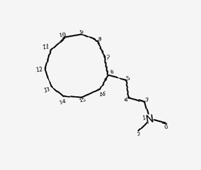 CN(C)CCCC1CCCCCCCCCC1